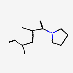 CCC(C)CC(C)C(C)N1CCCC1